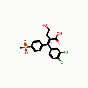 CS(=O)(=O)c1ccc(/C(=C(\CCO)C(=O)O)c2ccc(Cl)c(Cl)c2)cc1